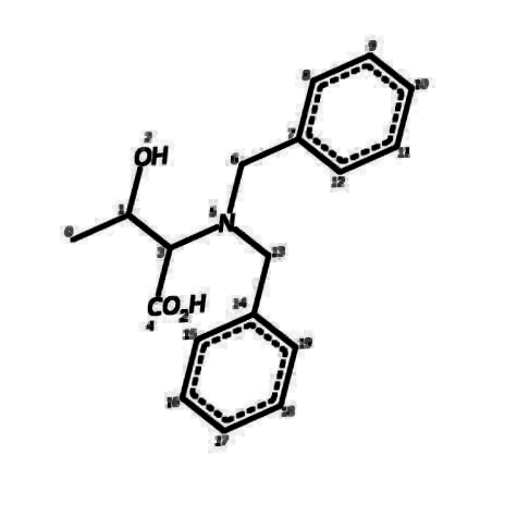 CC(O)C(C(=O)O)N(Cc1ccccc1)Cc1ccccc1